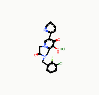 Cl.O=C1Cn2cc(-c3ccccn3)c(=O)c(O)c2CN1Cc1cccc(Cl)c1F